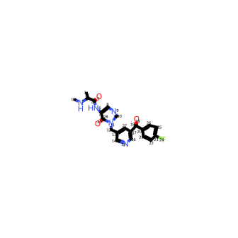 CNC(C)C(=O)Nc1cncn(Cc2cncc(C(=O)c3ccc(F)cc3)c2)c1=O